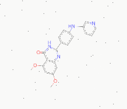 COc1cc(OC)c2c(=O)[nH]c(-c3ccc(Nc4cccnc4)cc3)nc2c1